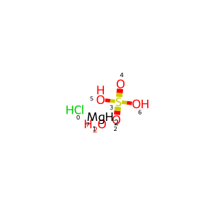 Cl.O.O=S(=O)(O)O.[MgH2]